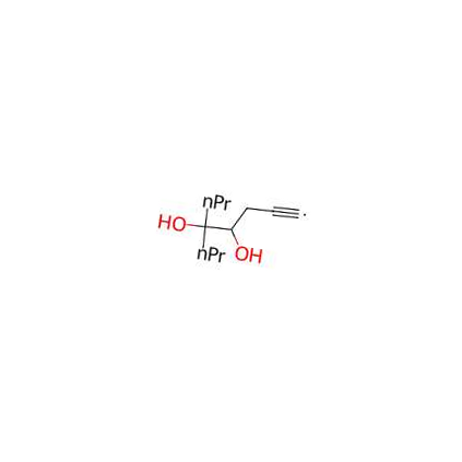 [C]#CCC(O)C(O)(CCC)CCC